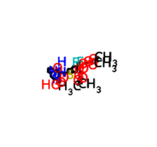 CC(C)OC(=O)OCOP(=O)(OCOC(=O)OC(C)C)C(F)(F)c1ccc2sc(C(=O)NC3CN(C(=O)O)CCC4CCCN4C3=O)cc2c1